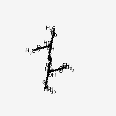 CCCCOC(=O)CCCCCCC(O)CN(CCCCSSCCN1CCN(CCOC(=O)CCCCN(CC(O)CCCCCCC(=O)OCC(CC)CC)CC(O)CCCCCCC(=O)OCC(CC)CC)CC1)CC(O)CCCCCCC(=O)OCCCC